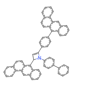 C1=C(c2ccc(-c3c4ccccc4cc4c3ccc3ccccc34)cc2)N(c2ccc(-c3ccccc3)cc2)C1c1c2ccccc2cc2c1ccc1ccccc12